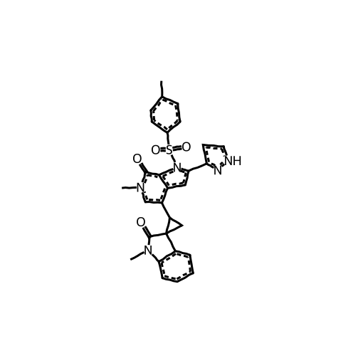 Cc1ccc(S(=O)(=O)n2c(-c3cc[nH]n3)cc3c(C4CC45C(=O)N(C)c4ccccc45)cn(C)c(=O)c32)cc1